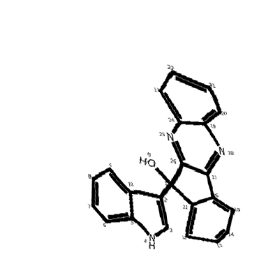 OC1(c2c[nH]c3ccccc23)c2ccccc2-c2nc3ccccc3nc21